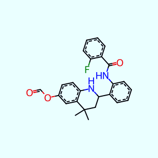 CC1(C)CC(c2ccccc2NC(=O)c2ccccc2F)Nc2ccc(OC=O)cc21